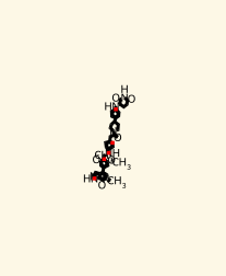 COc1cc(-c2cn(C)c(=O)c3[nH]ncc23)cc(OC)c1CNc1ccc(CC(=O)N2CCC(c3ccc(NC4CCC(=O)NC4=O)cc3)CC2)cc1